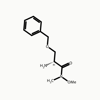 CON(C)C(=O)[C@H](N)COCc1ccccc1